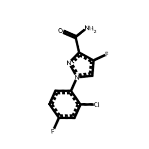 NC(=O)c1nn(-c2ccc(F)cc2Cl)cc1F